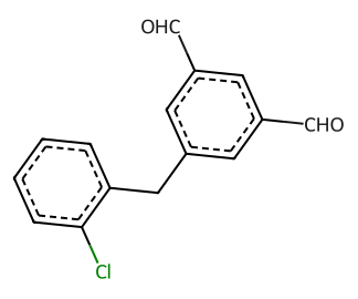 O=Cc1cc(C=O)cc(Cc2ccccc2Cl)c1